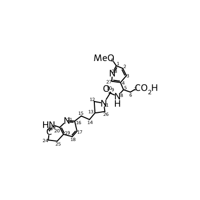 COc1ccc(C(CC(=O)O)NC(=O)N2CC(CCc3ccc4c(n3)NCCC4)C2)cn1